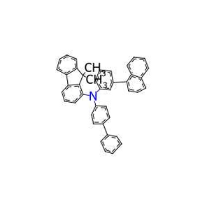 CC1(C)c2ccccc2-c2cccc(N(c3ccc(-c4ccccc4)cc3)c3cccc(-c4cccc5ccccc45)c3)c21